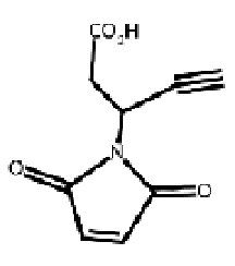 C#CC(CC(=O)O)N1C(=O)C=CC1=O